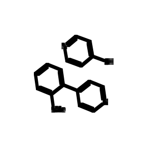 CSc1ccccc1-c1ccncc1.Sc1ccncc1